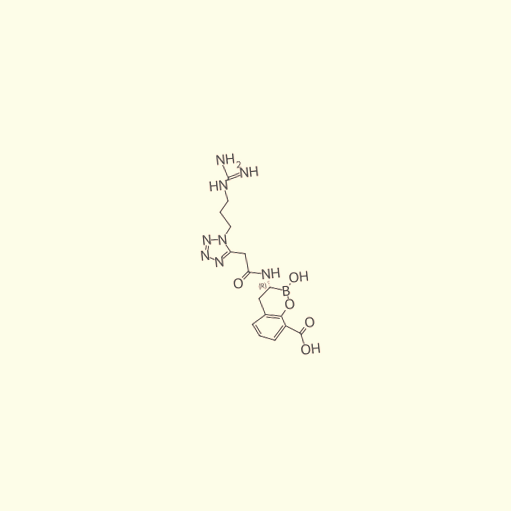 N=C(N)NCCCn1nnnc1CC(=O)N[C@H]1Cc2cccc(C(=O)O)c2OB1O